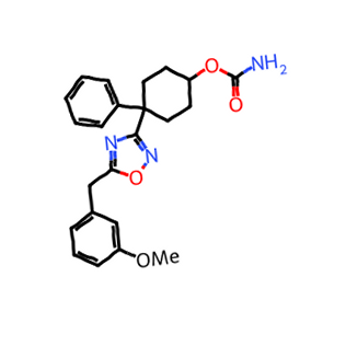 COc1cccc(Cc2nc(C3(c4ccccc4)CCC(OC(N)=O)CC3)no2)c1